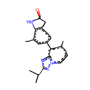 Cc1cc(-c2c(C)ccn3nc(C(C)C)nc23)cc2c1NC(=O)C2